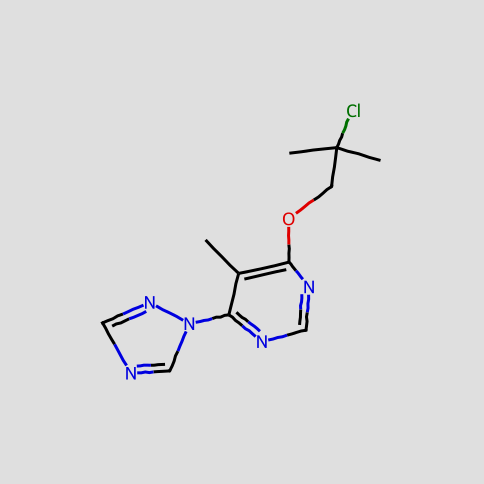 Cc1c(OCC(C)(C)Cl)ncnc1-n1cncn1